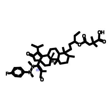 CCC(CCC1(C)C(C)CCC2(C)C1CCC1C3=C(C(C)C)C(=O)CC3(/C(=C(\C)C=O)N(C)N(C)c3ccc(F)cc3)CC[C@]12C)OC(=O)CC(C)(C)C(=O)O